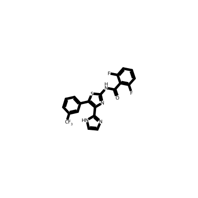 O=C(Nc1nc(-c2ncc[nH]2)c(-c2cccc(C(F)(F)F)c2)s1)c1c(F)cccc1F